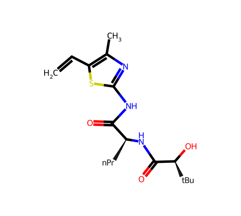 C=Cc1sc(NC(=O)[C@H](CCC)NC(=O)[C@@H](O)C(C)(C)C)nc1C